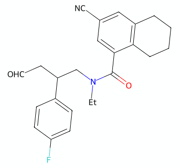 CCN(CC(CC=O)c1ccc(F)cc1)C(=O)c1cc(C#N)cc2c1CCCC2